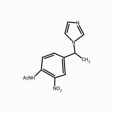 CC(=O)Nc1ccc(C(C)n2ccnc2)cc1[N+](=O)[O-]